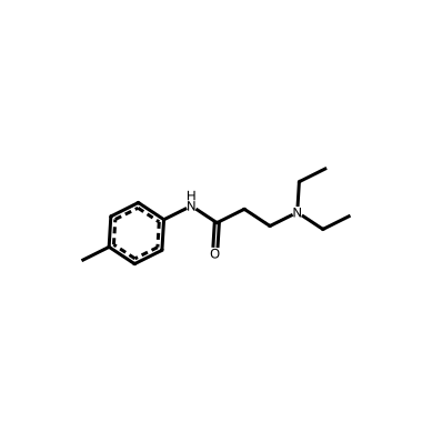 CCN(CC)CCC(=O)Nc1ccc(C)cc1